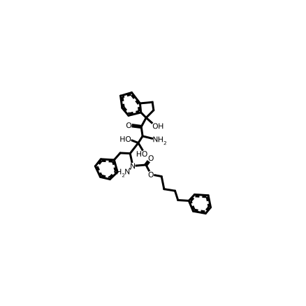 NC(C(=O)C1(O)CCc2ccccc21)C(O)(O)C(Cc1ccccc1)N(N)C(=O)OCCCCc1ccccc1